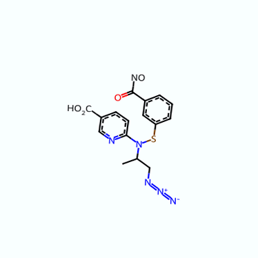 CC(CN=[N+]=[N-])N(Sc1cccc(C(=O)N=O)c1)c1ccc(C(=O)O)cn1